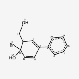 OCC1C=C(c2ccccc2)C=CC1(O)Br